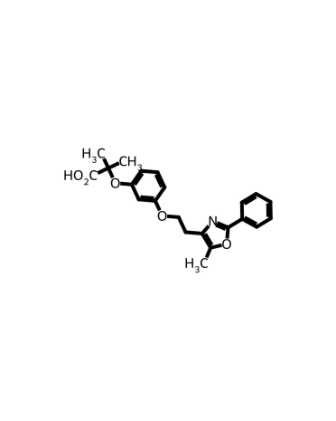 Cc1oc(-c2ccccc2)nc1CCOc1cccc(OC(C)(C)C(=O)O)c1